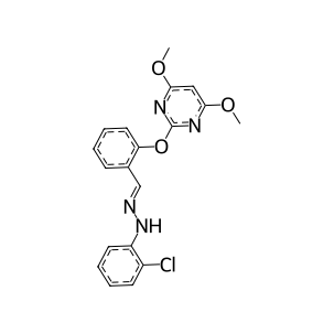 COc1cc(OC)nc(Oc2ccccc2C=NNc2ccccc2Cl)n1